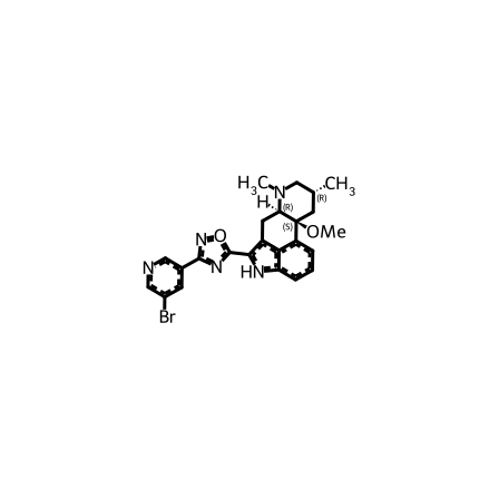 CO[C@]12C[C@@H](C)CN(C)[C@@H]1Cc1c(-c3nc(-c4cncc(Br)c4)no3)[nH]c3cccc2c13